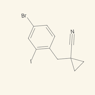 N#CC1(Cc2ccc(Br)cc2I)CC1